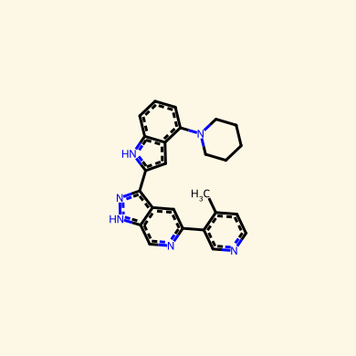 Cc1ccncc1-c1cc2c(-c3cc4c(N5CCCCC5)cccc4[nH]3)n[nH]c2cn1